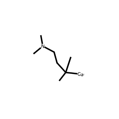 CN(C)CC[C](C)(C)[Ga]